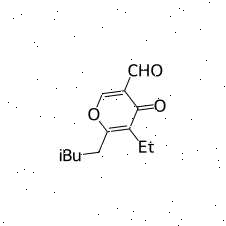 CCc1c(CC(C)CC)occ(C=O)c1=O